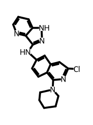 Clc1cc2cc(Nc3n[nH]c4cccnc34)ccc2c(N2CCCCC2)n1